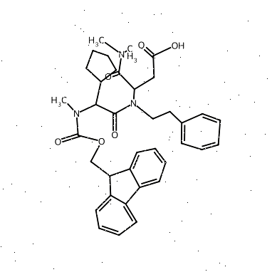 CN(C)C(=O)C(CC(=O)O)N(CCc1ccccc1)C(=O)C(C1CCCC1)N(C)C(=O)OCC1c2ccccc2-c2ccccc21